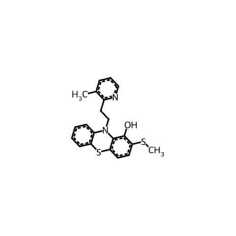 CSc1ccc2c(c1O)N(CCc1ncccc1C)c1ccccc1S2